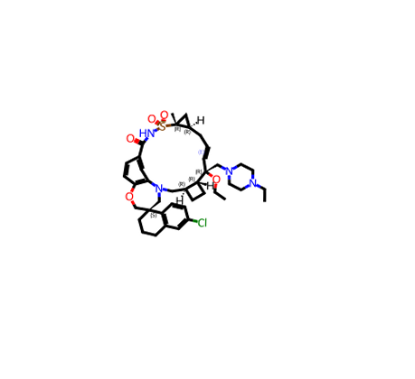 CCO[C@@]1(CN2CCN(CC)CC2)/C=C/C[C@@H]2C[C@@]2(C)S(=O)(=O)NC(=O)c2ccc3c(c2)N(C[C@@H]2CC[C@H]21)C[C@@]1(CCCc2cc(Cl)ccc21)CO3